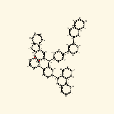 c1ccc(-c2ccc(-c3cc4ccccc4c4ccccc34)cc2N(c2ccc(-c3cccc(-c4ccc5ccccc5c4)c3)cc2)c2ccc3sc4ccccc4c3c2)cc1